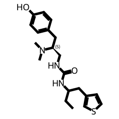 CCC(Cc1ccsc1)NC(=O)NC[C@H](Cc1ccc(O)cc1)N(C)C